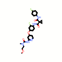 COCCN(C)C(=O)Nc1cc(Oc2ccc(NC(=O)C3(C(=O)Nc4ccc(F)cc4)CC3)c(F)c2)ccn1